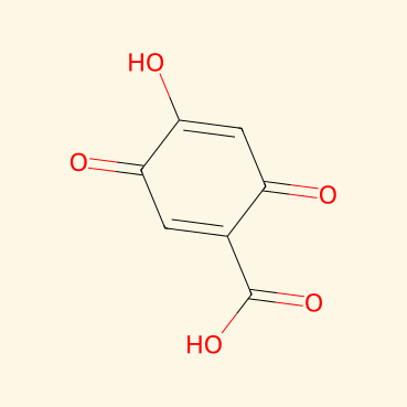 O=C(O)C1=CC(=O)C(O)=CC1=O